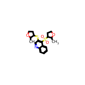 CC1OCCC1Sc1cnc2ccccc2c1S(=O)(=O)C1CCOC1C